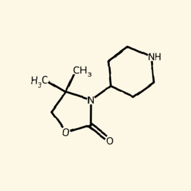 CC1(C)COC(=O)N1C1CCNCC1